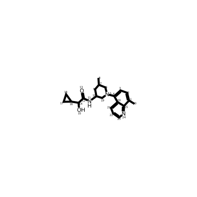 Cc1ccc(N2CC(C)CC(NC(=O)C(O)C3CC3)C2)c2cccnc12